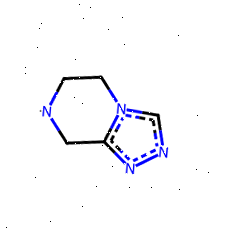 c1nnc2n1CC[N]C2